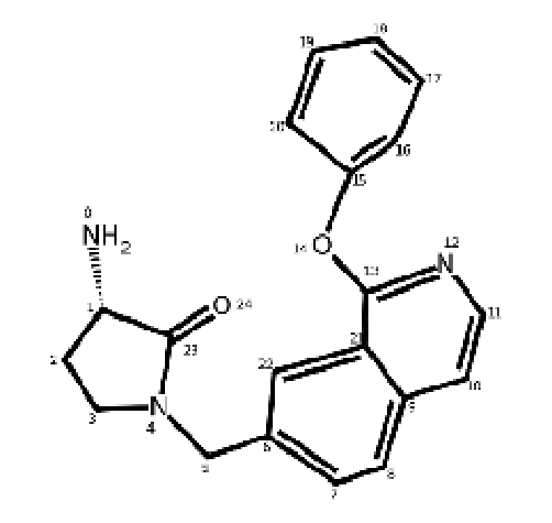 N[C@H]1CCN(Cc2ccc3ccnc(Oc4ccccc4)c3c2)C1=O